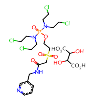 O=C(CS(=O)(=O)CCOP(=O)(N(CCCl)CCCl)N(CCCl)CCCl)NCc1cccnc1.O=C(O)C(O)C(O)C(=O)O